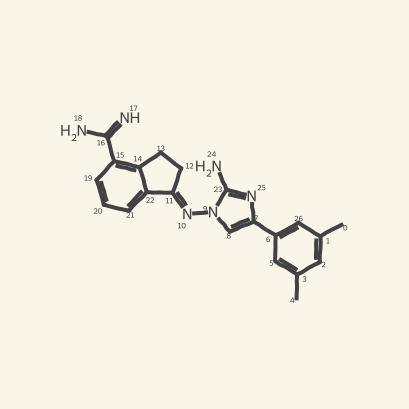 Cc1cc(C)cc(-c2cn(N=C3CCc4c(C(=N)N)cccc43)c(N)n2)c1